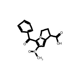 C[S+]([O-])c1cc2n(c1C(=O)c1ccccc1)CCC2C(=O)O